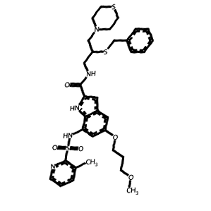 COCCCOc1cc(NS(=O)(=O)c2ncccc2C)c2[nH]c(C(=O)NCC(CN3CCSCC3)SCc3ccccc3)cc2c1